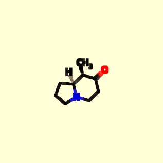 C[C@H]1C(=O)CCN2CCC[C@@H]12